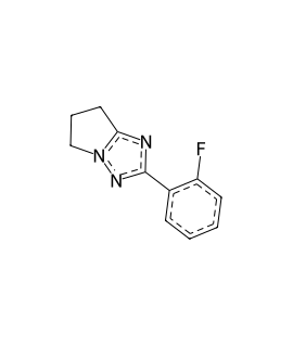 Fc1ccccc1-c1nc2n(n1)CCC2